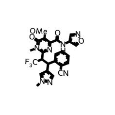 COc1c(C(=O)Nc2cnoc2)nc(C(C(c2cnn(C)c2)c2ccccc2C#N)C(F)(F)F)n(C)c1=O